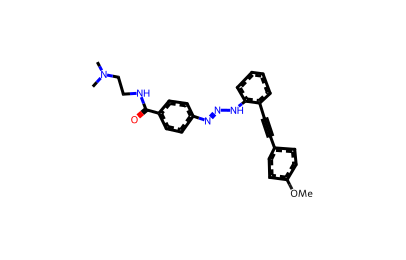 COc1ccc(C#Cc2ccccc2N/N=N/c2ccc(C(=O)NCCN(C)C)cc2)cc1